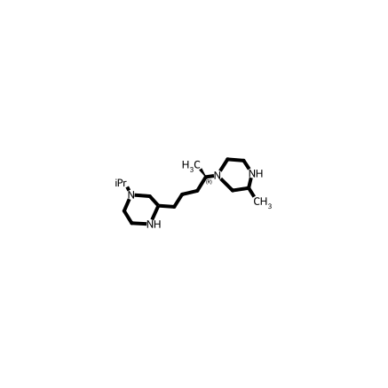 CC1CN([C@H](C)CCCC2CN(C(C)C)CCN2)CCN1